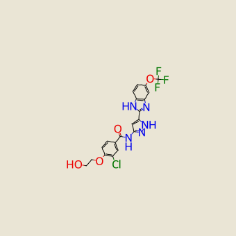 O=C(Nc1cc(-c2nc3cc(OC(F)(F)F)ccc3[nH]2)[nH]n1)c1ccc(OCCO)c(Cl)c1